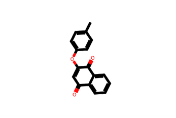 Cc1ccc(OC2=CC(=O)c3ccccc3C2=O)cc1